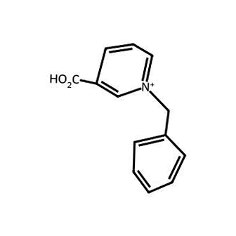 O=C(O)c1ccc[n+](Cc2ccccc2)c1